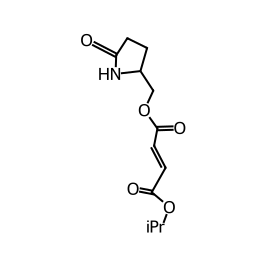 CC(C)OC(=O)/C=C/C(=O)OCC1CCC(=O)N1